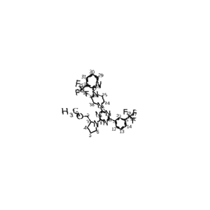 COCC1CCCN1c1nc(-c2cccc(C(F)(F)F)c2)nc(N2CCN(c3ncccc3C(F)(F)F)CC2)n1